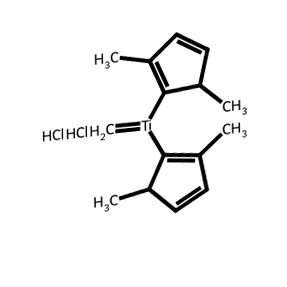 Cl.Cl.[CH2]=[Ti]([C]1=C(C)C=CC1C)[C]1=C(C)C=CC1C